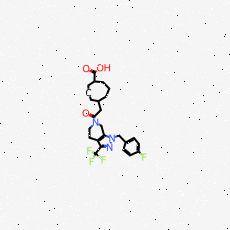 O=C(O)C1CCCC(CC(=O)N2CCc3c(C(F)(F)F)nn(Cc4ccc(F)cc4)c3C2)CCC1